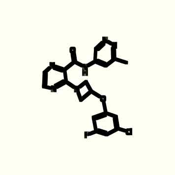 Cc1cc(NC(=O)c2nccnc2N2CC(Oc3cc(F)cc(Cl)c3)C2)cnn1